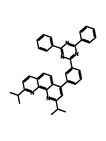 CC(C)c1ccc2ccc3c(-c4cccc(-c5nc(-c6ccccc6)nc(-c6ccccc6)n5)c4)cc(C(C)C)nc3c2n1